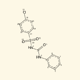 O=C(Nc1ccccc1)NS(=O)(=O)c1ccc(Cl)cc1